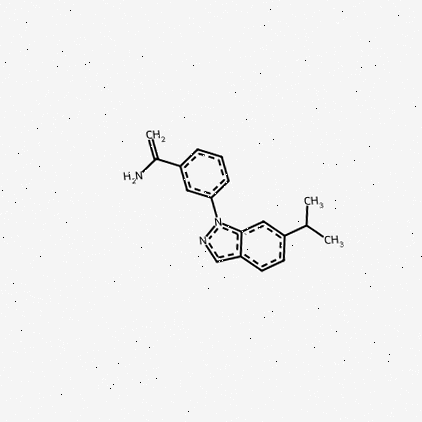 C=C(N)c1cccc(-n2ncc3ccc(C(C)C)cc32)c1